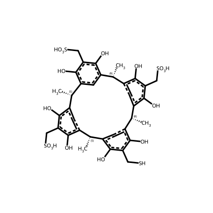 C[C@@H]1c2cc(c(O)c(CS(=O)(=O)O)c2O)[C@H](C)c2cc(c(O)c(CS(=O)(=O)O)c2O)[C@H](C)c2cc(c(O)c(CS)c2O)[C@H](C)c2cc1c(O)c(CS(=O)(=O)O)c2O